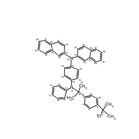 CCC(C)(C)c1ccc(C(C)(C)N(c2ccccc2)c2ccc(N(c3ccc4ccccc4c3)c3ccc4ccccc4c3)cc2)cc1